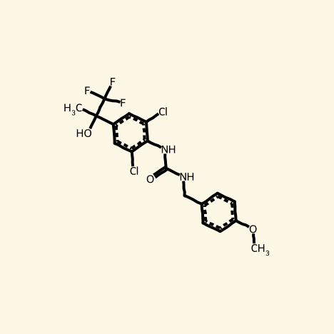 COc1ccc(CNC(=O)Nc2c(Cl)cc(C(C)(O)C(F)(F)F)cc2Cl)cc1